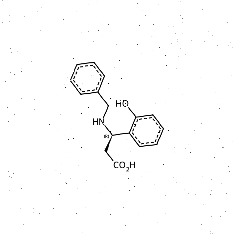 O=C(O)C[C@@H](NCc1ccccc1)c1ccccc1O